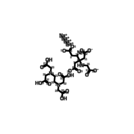 NC(CC(=O)[O-])C(CC(=O)[O-])(CC(=O)[O-])NCC(=O)[O-].O=C(O)CN(CCN(CC(=O)O)CC(=O)O)CC(=O)O.[Na+].[Na+].[Na+].[Na+]